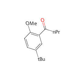 CCCC(=O)c1cc(C(C)(C)C)ccc1OC